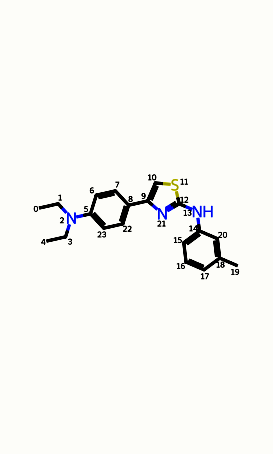 CCN(CC)c1ccc(-c2csc(Nc3cccc(C)c3)n2)cc1